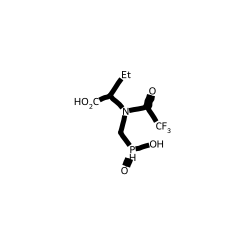 CCC(C(=O)O)N(C[PH](=O)O)C(=O)C(F)(F)F